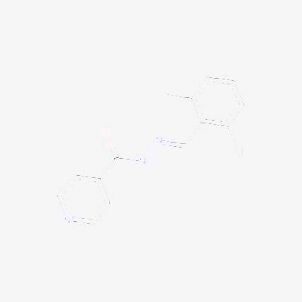 O=C(N/N=C/c1c(Cl)cccc1Cl)c1ccncc1